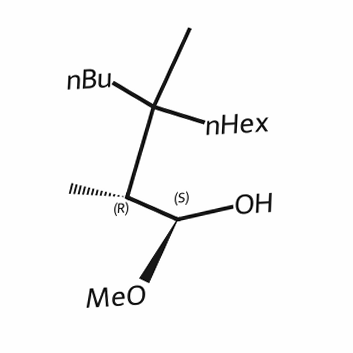 CCCCCCC(C)(CCCC)[C@@H](C)[C@@H](O)OC